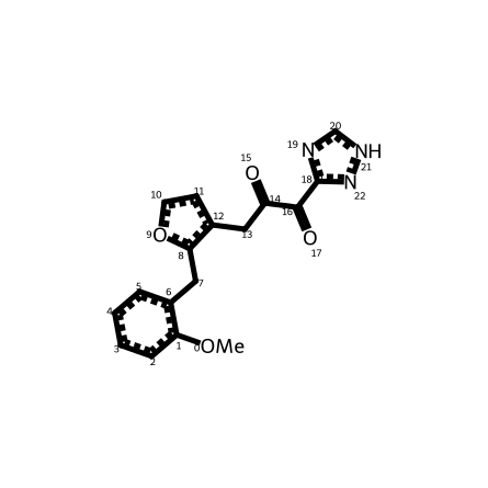 COc1ccccc1Cc1occc1CC(=O)C(=O)c1nc[nH]n1